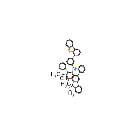 CC1(C)c2ccccc2-c2cc(-c3ccccc3N(c3cccc(-c4cccc5c4sc4ccccc45)c3)c3cccc4c3-c3ccccc3C4(C)C)ccc21